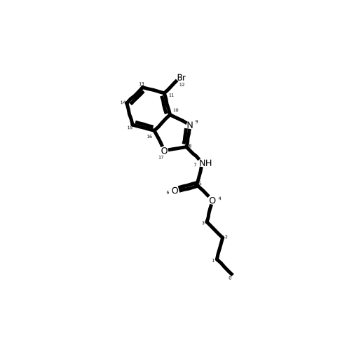 CCCCOC(=O)Nc1nc2c(Br)cccc2o1